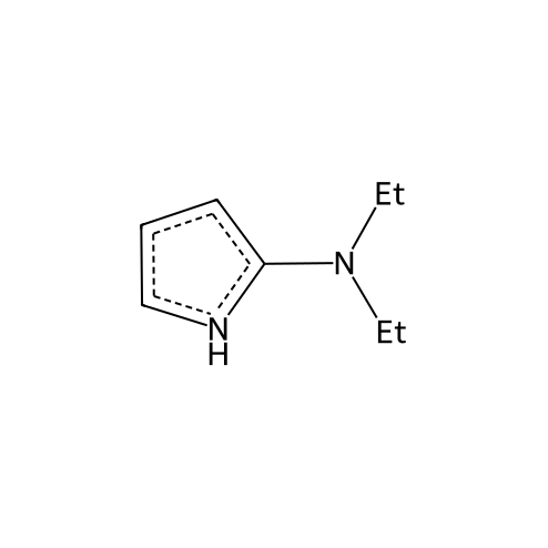 CCN(CC)c1ccc[nH]1